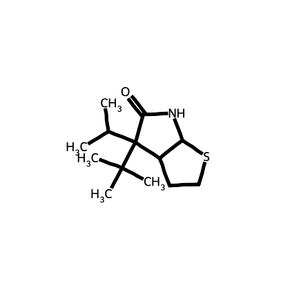 CC(C)C1(C(C)(C)C)C(=O)NC2SCCC21